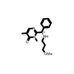 COCCCN[C@@H](c1ccccc1)c1ncc(C)c(=O)n1C